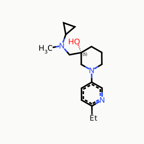 CCc1ccc(N2CCC[C@](O)(CN(C)C3CC3)C2)cn1